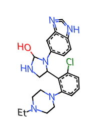 CCN1CCN(c2cccc(Cl)c2C2CNC(O)N2c2ccc3[nH]cnc3c2)CC1